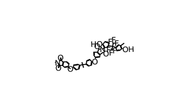 Cc1cc(C(c2ccc(O)c(N3C(=O)c4ccc(Oc5ccc(C(C)(C)c6ccc(Oc7ccc8c(c7)C(=O)N(C)C8=O)cc6)cc5)cc4C3=O)c2)(C(F)(F)F)C(F)(F)F)ccc1O